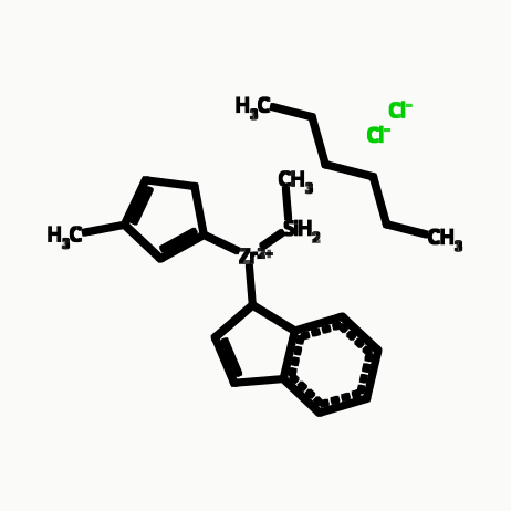 CCCCCC.C[SiH2][Zr+2]([C]1=CC(C)=CC1)[CH]1C=Cc2ccccc21.[Cl-].[Cl-]